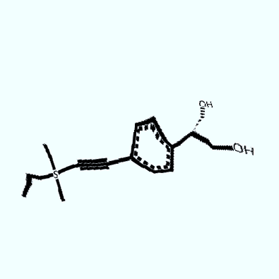 CCS(C)(C)C#Cc1ccc([C@H](O)CO)cc1